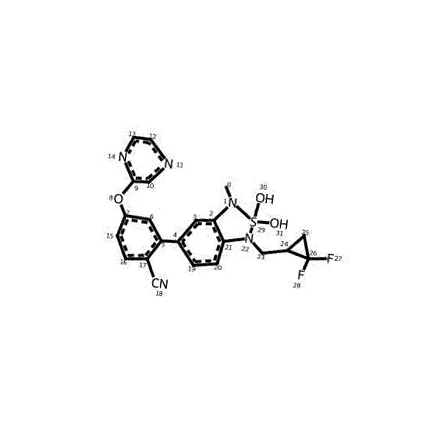 CN1c2cc(-c3cc(Oc4cnccn4)ccc3C#N)ccc2N(CC2CC2(F)F)S1(O)O